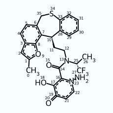 Cc1cc2ccc3c(c2o1)[C@H](CCN(C(=O)c1c(O)c(=O)ccn1N)[C@H](C)C(F)(F)F)c1ccccc1SC3